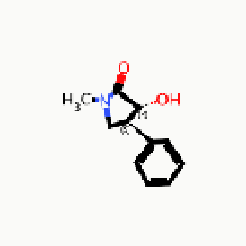 CN1C[C@H](c2ccccc2)[C@@H](O)C1=O